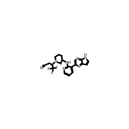 N#CCC(N1CCCC(Nc2ncccc2-c2cnc3[nH]ccc3n2)C1)C(F)(F)F